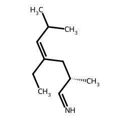 CC/C(=C/C(C)C)C[C@H](C)C=N